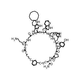 NCCCC[C@@H]1NC(=O)CCSCc2cccc(c2)CSC[C@@H](C(N)=O)NC(=O)[C@@H]2CCCN2C(=O)[C@H](Cc2ccc(O)cc2)NC(=O)[C@H](Cc2c[nH]cn2)NC(=O)[C@H](CC(=O)O)NC(=O)[C@H](Cc2c[nH]c3ncccc23)NC(=O)[C@H](Cc2c[nH]c3c2CCC2(CCCCCCCCCC2)N3)NC(=O)CNC1=O